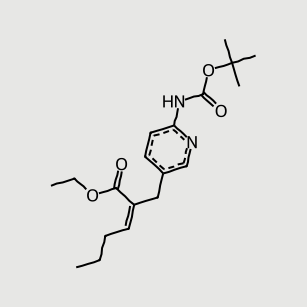 CCCC=C(Cc1ccc(NC(=O)OC(C)(C)C)nc1)C(=O)OCC